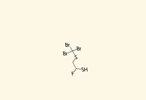 FC(S)CSC(Br)(Br)Br